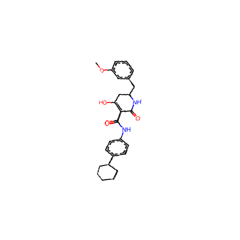 COc1cccc(CC2CC(O)=C(C(=O)Nc3ccc(C4CCCCC4)cc3)C(=O)N2)c1